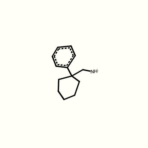 [NH]CC1(c2ccccc2)CCCCC1